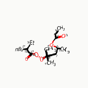 C=CC(=O)OC(C)CC(C)(C)OOC(=O)C(CC)CCCC